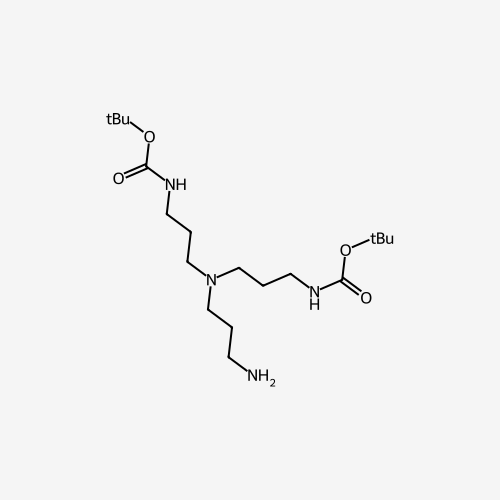 CC(C)(C)OC(=O)NCCCN(CCCN)CCCNC(=O)OC(C)(C)C